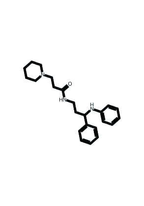 O=C(CCN1CCCCC1)NCCC(Nc1ccccc1)c1ccccc1